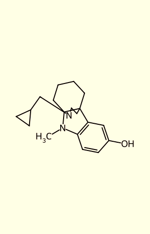 CN1c2ccc(O)cc2C23CCCCC12N(CC1CC1)CC3